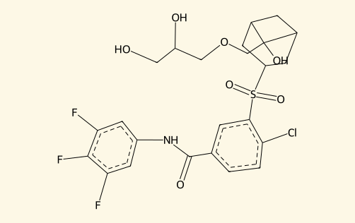 O=C(Nc1cc(F)c(F)c(F)c1)c1ccc(Cl)c(S(=O)(=O)C2CC3CC(C2)C3(O)COCC(O)CO)c1